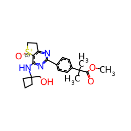 COC(=O)C(C)(C)c1ccc(-c2nc3c(c(NC4(CO)CCC4)n2)[S@+]([O-])CC3)cc1